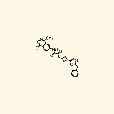 Cc1noc(=O)c2ccc(NC(=O)C(=O)CC3CC(C4=COC(Cc5ccccc5)O4)C3)cc12